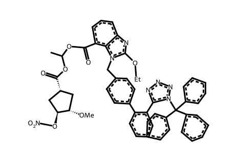 CCOc1nc2cccc(C(=O)OC(C)OC(=O)[C@@H]3C[C@H](OC)[C@@H](O[N+](=O)[O-])C3)c2n1Cc1ccc(-c2ccccc2-c2nnnn2C(c2ccccc2)(c2ccccc2)c2ccccc2)cc1